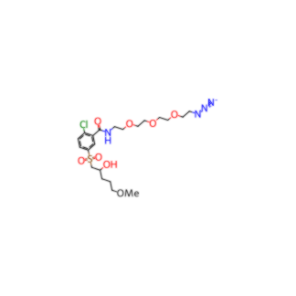 COCCCC(O)CS(=O)(=O)c1ccc(Cl)c(C(=O)NCCOCCOCCOCCN=[N+]=[N-])c1